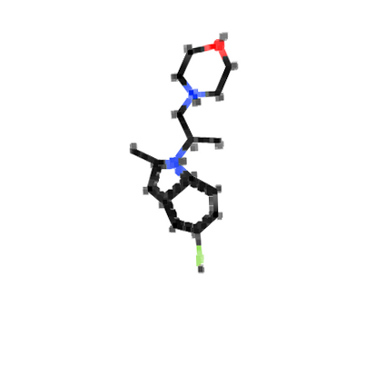 Cc1cc2cc(F)ccc2n1C(C)CN1CCOCC1